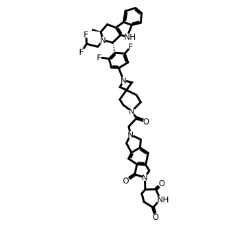 C[C@H]1Cc2c([nH]c3ccccc23)[C@H](c2c(F)cc(N3CC4(CCN(C(=O)CN5Cc6cc7c(cc6C5)C(=O)N(C5CCC(=O)NC5=O)C7)CC4)C3)cc2F)N1CC(F)F